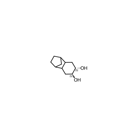 O[C@H]1CC2C3CCC(C3)C2C[C@@H]1O